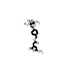 C=C1C=C(CC(=O)OCc2ccc(B3OC(C)(C)C(C)(C)O3)cc2)C(=O)O1